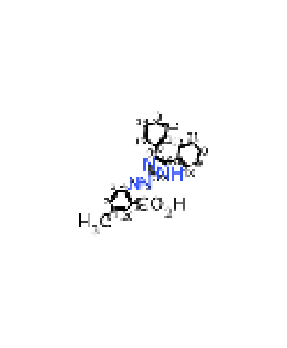 Cc1ccc(N=Nc2nc(-c3ccccc3)c(-c3ccccc3)[nH]2)c(C(=O)O)c1